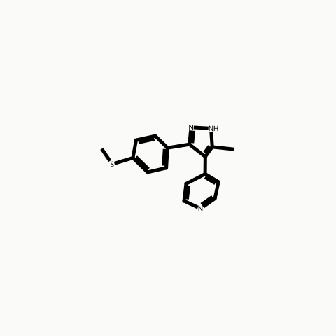 CSc1ccc(-c2n[nH]c(C)c2-c2ccncc2)cc1